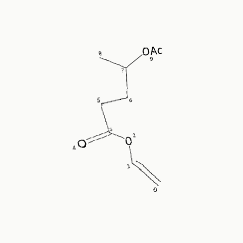 C=COC(=O)CCC(C)OC(C)=O